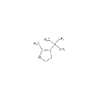 CC1OCCC1C(C)(C)C